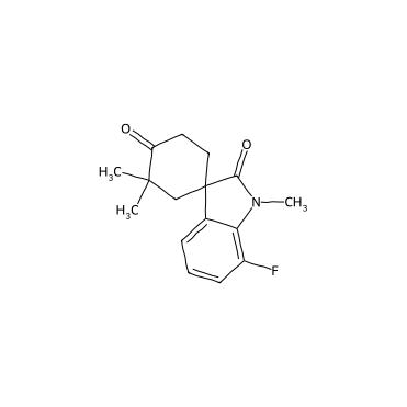 CN1C(=O)C2(CCC(=O)C(C)(C)C2)c2cccc(F)c21